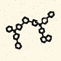 C1=CC(N(c2ccc(-c3cccc(-c4ccc(N(c5ccccc5)c5ccc(-c6ccccc6)cc5)cc4)c3)cc2)c2ccc(-c3cccc4ccccc34)cc2)CC=C1c1ccccc1